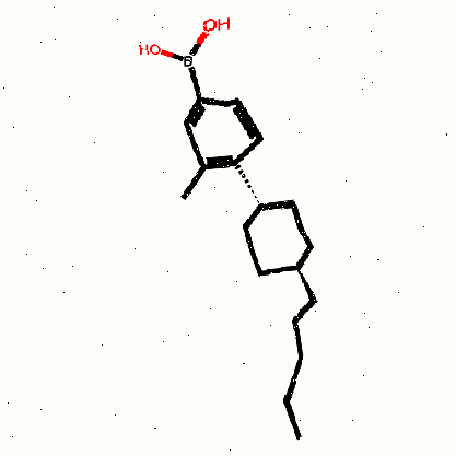 CCCCC[C@H]1CC[C@H](c2ccc(B(O)O)cc2C)CC1